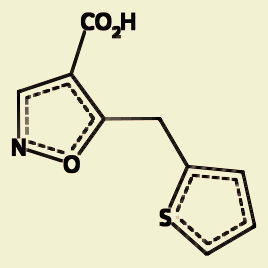 O=C(O)c1cnoc1Cc1cccs1